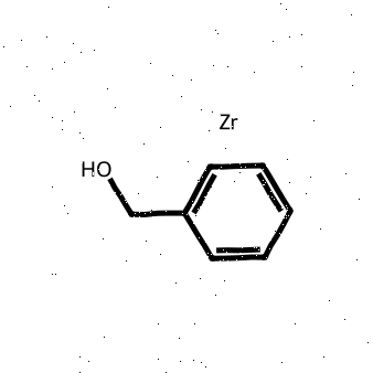 OCc1ccccc1.[Zr]